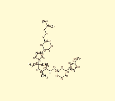 CC(C)C(=O)CCCN1CCCC(n2cc(C(C)(C)CC(C)C(=O)CCN3CCCC(n4cc(C(C)C)cn4)C3)cn2)C1